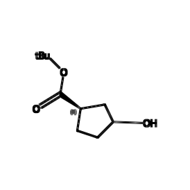 CC(C)(C)OC(=O)[C@@H]1CCC(O)C1